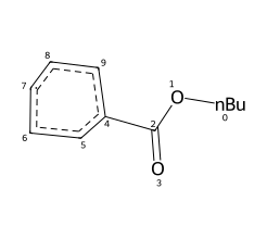 CCCCOC(=O)c1cc[c]cc1